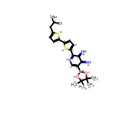 CCCCC(CC)Cc1ccc(-c2ccc(C3=NC=C(B4OC(C)(C)C(C)(C)O4)C(=N)C3=N)s2)s1